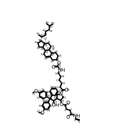 C=CNC(=O)CCC(=O)OC1CN(C(=O)CCCCCNC(=O)OC2CC[C@@]3(C)C(=CCC4C3CC[C@@]3(C)C4CC[C@@H]3C(C)CCCC(C)C)C2)CC1C(O)C(c1ccccc1)(c1ccc(OC)cc1)c1ccc(OC)cc1